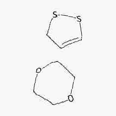 C1=CSSC1.C1COCCO1